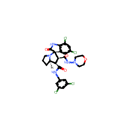 O=C(Nc1cc(Cl)cc(Cl)c1)[C@H]1[C@H]2CCCN2[C@]2(C(=O)Nc3c(Cl)cc(Cl)cc32)[C@H]1C(=O)NN1CCOCC1